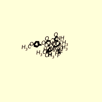 COc1ccc(COCC(=O)[C@H](C[C@@H]2CCNC2=O)NC(=O)[C@@H]2[C@@H]3[C@H](CN2C(=O)[C@@H](NC(=O)C(F)(F)F)C(C)(C)C)C3(C)C)cc1